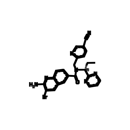 CC[C@H](c1ncccn1)N(Cc1ccc(C#N)cn1)C(=O)c1ccc2nc(N)c(Br)cc2c1